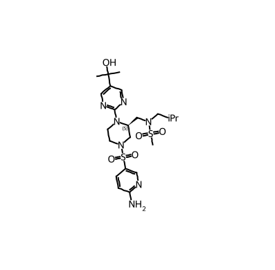 CC(C)CN(C[C@H]1CN(S(=O)(=O)c2ccc(N)nc2)CCN1c1ncc(C(C)(C)O)cn1)S(C)(=O)=O